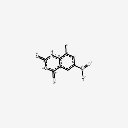 Cc1cc([N+](=O)[O-])cc2c(=O)oc(=O)[nH]c12